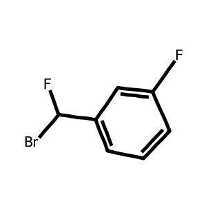 Fc1cccc(C(F)Br)c1